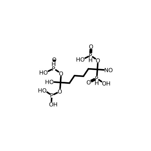 O=NC(CCCCC(O)(OP(O)O)O[PH](=O)O)(O[PH](=O)O)[PH](=O)O